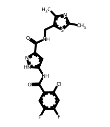 Cc1nc(C)c(CNC(=O)c2cc(NC(=O)c3cc(F)c(F)cc3Cl)[nH]n2)s1